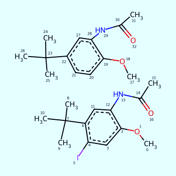 COc1cc(I)c(C(C)(C)C)cc1NC(C)=O.COc1ccc(C(C)(C)C)cc1NC(C)=O